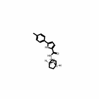 Cc1ccc(-c2ccc(C(=O)N[C@@H]3C[C@H]4CC[C@@H]3N4)[nH]2)cc1